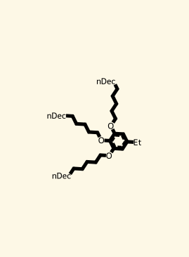 [CH2]Cc1cc(OCCCCCCCCCCCCCCC)c(OCCCCCCCCCCCCCCC)c(OCCCCCCCCCCCCCCC)c1